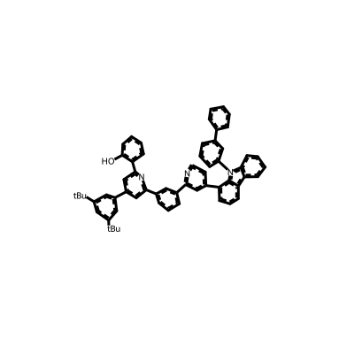 CC(C)(C)c1cc(-c2cc(-c3cccc(-c4cc(-c5cccc6c7ccccc7n(-c7cccc(-c8ccccc8)c7)c56)ccn4)c3)nc(-c3ccccc3O)c2)cc(C(C)(C)C)c1